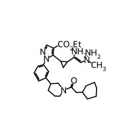 CCOC(=O)c1cnn(-c2cccc(C3CCCN(C(=O)CC4CCCCC4)C3)c2)c1C1CC1/C(N)=C/N(C)N